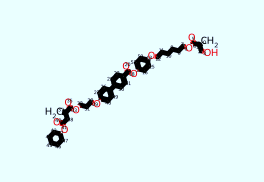 C=C(CO)C(=O)OCCCCCCOc1ccc(OC(=O)c2ccc(-c3ccc(OCCCOC(=O)C(=C)CC(=O)OC4CCCCC4)cc3)cc2)cc1